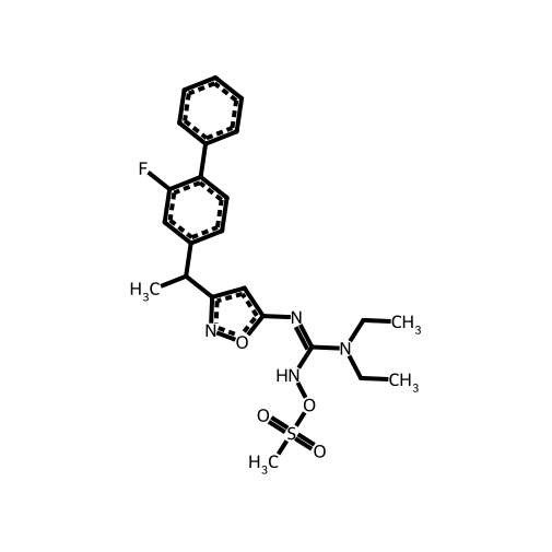 CCN(CC)C(=Nc1cc(C(C)c2ccc(-c3ccccc3)c(F)c2)no1)NOS(C)(=O)=O